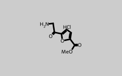 COC(=O)c1ccc(C(=O)CN)o1.Cl